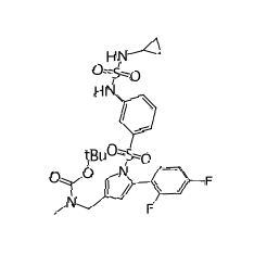 CN(Cc1cc(-c2ccc(F)cc2F)n(S(=O)(=O)c2cccc(NS(=O)(=O)NC3CC3)c2)c1)C(=O)OC(C)(C)C